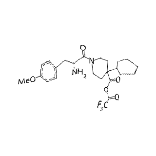 COc1ccc(C[C@@H](N)C(=O)N2CCC(C(=O)OC(=O)C(F)(F)F)(C3CCCCC3)CC2)cc1